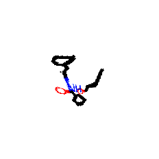 CCCCOc1ccccc1C(=O)N[CH]Cc1ccccc1